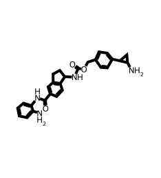 Nc1ccccc1NC(=O)c1ccc2c(c1)CCC2NC(=O)OCc1ccc(C2CC2N)cc1